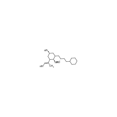 CCC/C=C(\C)C1C[C@@H](CCC)CC(C[C@@H](O)CCC2CCCCC2)[C@H]1CCC